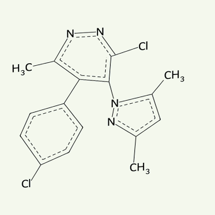 Cc1cc(C)n(-c2c(Cl)nnc(C)c2-c2ccc(Cl)cc2)n1